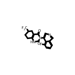 O=c1[nH]c2c(c(=O)n1-c1cncc3cccc(F)c13)CC(C(F)(F)F)CC2